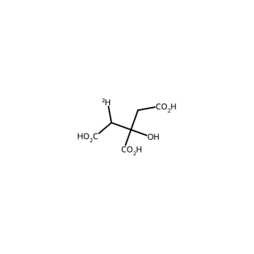 [2H]C(C(=O)O)C(O)(CC(=O)O)C(=O)O